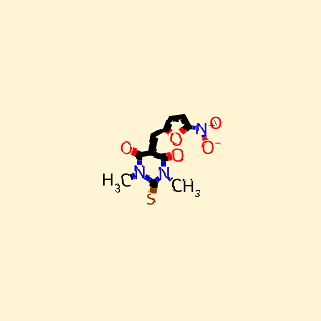 CN1C(=O)C(=Cc2ccc([N+](=O)[O-])o2)C(=O)N(C)C1=S